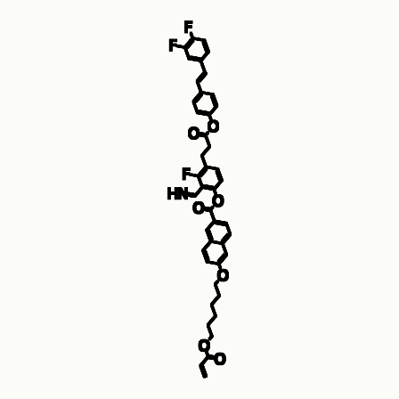 C=CC(=O)OCCCCCCOc1ccc2cc(C(=O)Oc3ccc(CCC(=O)Oc4ccc(/C=C/c5ccc(F)c(F)c5)cc4)c(F)c3C=N)ccc2c1